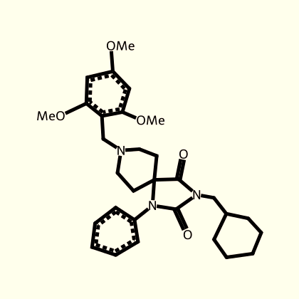 COc1cc(OC)c(CN2CCC3(CC2)C(=O)N(CC2CCCCC2)C(=O)N3c2ccccc2)c(OC)c1